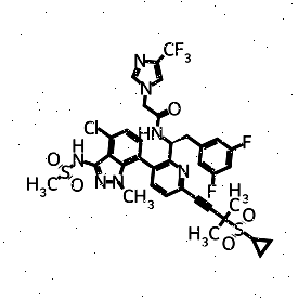 Cn1nc(NS(C)(=O)=O)c2c(Cl)ccc(-c3ccc(C#CC(C)(C)S(=O)(=O)C4CC4)nc3[C@H](Cc3cc(F)cc(F)c3)NC(=O)Cn3cnc(C(F)(F)F)c3)c21